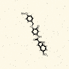 COc1ccc(COc2ccc(NC(=O)c3cc4cc([N+](=O)[O-])ccc4[nH]3)cc2Cl)cc1